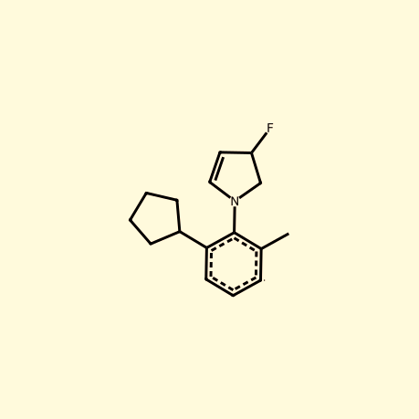 Cc1[c]ccc(C2CCCC2)c1N1C=CC(F)C1